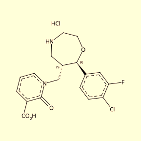 Cl.O=C(O)c1cccn(C[C@@H]2CNCCO[C@H]2c2ccc(Cl)c(F)c2)c1=O